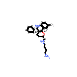 NCCCCNC[C@H]1CC[C@@H]2[C@H](O1)c1cc(C(F)(F)F)ccc1N[C@H]2c1ccccc1